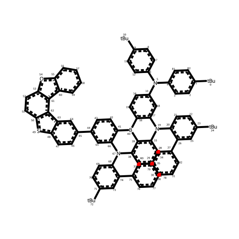 CC(C)(C)c1ccc(N(c2ccc(C(C)(C)C)cc2)c2ccc3c(c2)N(c2ccc(C(C)(C)C)cc2-c2ccccc2)c2cc(Cl)cc4c2B3c2ccc(-c3ccc5sc6ccc7oc8ccccc8c7c6c5c3)cc2N4c2ccc(C(C)(C)C)cc2-c2ccccc2)cc1